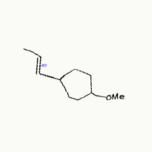 C/C=C/C1CCC(OC)CC1